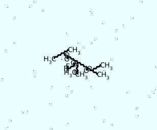 CCCCCCC(CCCC)COC(=O)CCCCCC(CCCCCC(=O)OCC(CCCC)CCCCCC)N(CCCN(C)C)C(=O)CCCC(F)(F)F